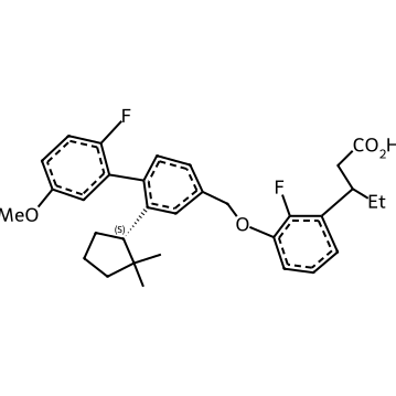 CCC(CC(=O)O)c1cccc(OCc2ccc(-c3cc(OC)ccc3F)c([C@H]3CCCC3(C)C)c2)c1F